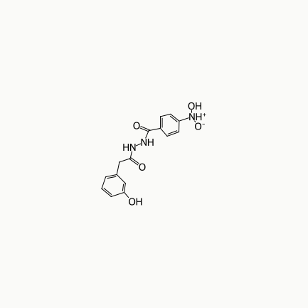 O=C(Cc1cccc(O)c1)NNC(=O)c1ccc([NH+]([O-])O)cc1